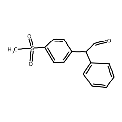 CS(=O)(=O)c1ccc(C(C=O)c2ccccc2)cc1